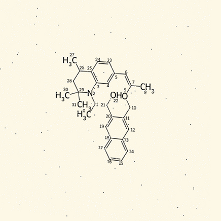 CCN1c2cc(C=C(C)OCc3cc4ccccc4cc3CO)ccc2C(C)CC1(C)C